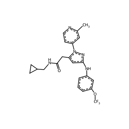 Cc1cc(-n2nc(Nc3cccc(OC(F)(F)F)c3)cc2CC(=O)NCC2CC2)ccn1